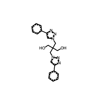 OCC(CO)(Cn1cc(-c2ccccc2)nn1)Cn1cc(-c2ccccc2)nn1